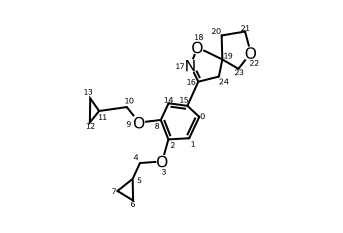 c1cc(OCC2CC2)c(OCC2CC2)cc1C1=NOC2(CCOC2)C1